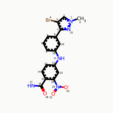 Cn1cc(Br)c(-c2cccc(Nc3ccc(C([NH])=O)c([N+](=O)[O-])c3)c2)n1